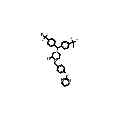 O=C1CN(C(c2ccc(C(F)(F)F)cc2)c2ccc(C(F)(F)F)cc2)CCN1Cc1ccc(Oc2ncccn2)cc1